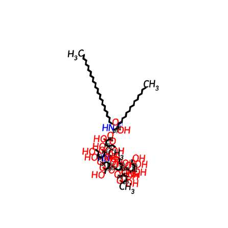 CCCCCCCCCCCCC/C=C/[C@@H](O)[C@H](CO[C@@H]1OC(CO)[C@@H](O[C@@H]2OC(CO)[C@H](O)[C@H](O[C@@H]3OC(CO)[C@@H](O[C@@H]4OC(CO)[C@H](O)[C@H](O[C@H]5OC(CO)[C@H](O)[C@H](O)C5O)C4O[C@H]4OC(C)[C@@H](O)C(O)[C@@H]4O)[C@H](O)C3NC(C)=O)C2O)[C@H](O)C1O)NC(=O)CCCCCCCCCCCCCCCCCCCCCCCCC